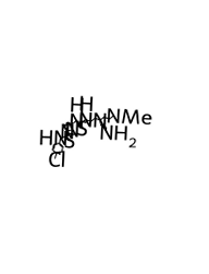 CNCCN(CCN)CCNC(=S)Nc1ccn(C(=S)Nc2ccc(Cl)cc2)n1